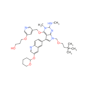 CNC1N=c2c(c(-c3ccc4ncc(OC5CCCCO5)cc4c3)cn2COCC[Si](C)(C)C)=C(OCc2cncc(OCCCO)c2)N1C